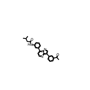 CC(=O)c1cccc(-c2cnn3c(-c4cccc(NC(=O)CC(C)C)c4)ccnc23)c1